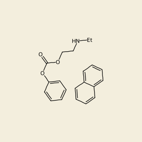 CCNCCOC(=O)Oc1ccccc1.c1ccc2ccccc2c1